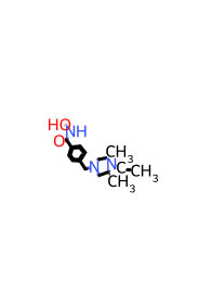 CCCN1[C@H](C)CN(Cc2ccc(C(=O)NO)cc2)C[C@@H]1C